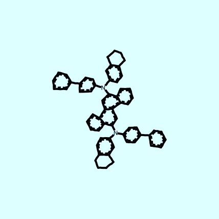 c1ccc(-c2ccc(N(c3ccc4c(c3)CCCC4)c3cc4c5ccccc5c(N(c5ccc(-c6ccccc6)cc5)c5ccc6c(c5)CCCC6)cc4c4ccccc34)cc2)cc1